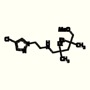 CCC(C)(CNCCn1cc(Cl)cn1)CC(C)(CC)COC